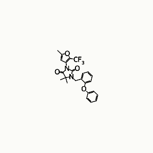 Cc1cc(N2C(=O)N(Cc3ccccc3Oc3ccccc3)C(C)(C)C2=O)c(C(F)(F)F)o1